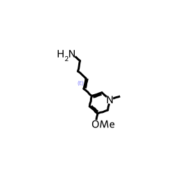 COC1=CC(/C=C/CCN)=CN(C)C1